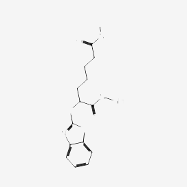 CCCNC(=O)CCCCC(Sc1nc2ccccc2o1)C(=O)NCCC